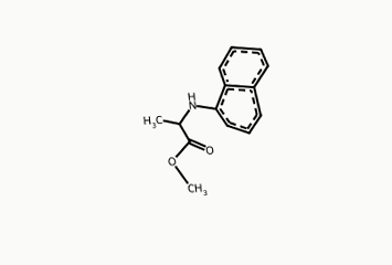 COC(=O)C(C)Nc1cccc2ccccc12